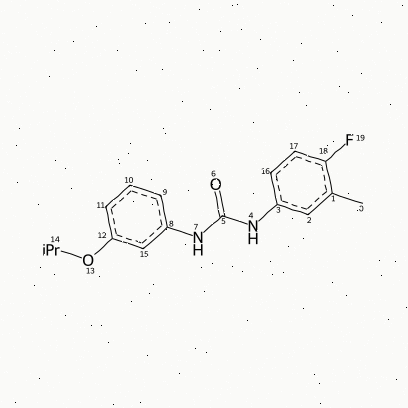 Cc1cc(NC(=O)Nc2cccc(OC(C)C)c2)ccc1F